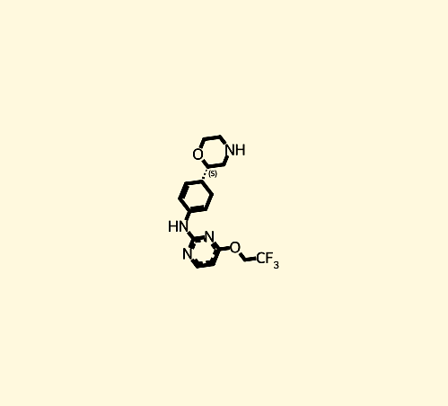 FC(F)(F)COc1ccnc(NC2=CCC([C@H]3CNCCO3)C=C2)n1